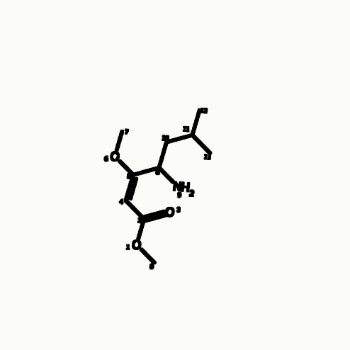 COC(=O)/C=C(/OC)C(N)CC(C)C